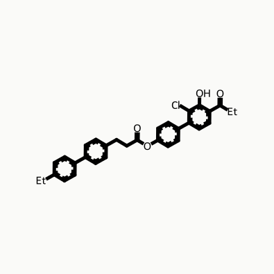 CCC(=O)c1ccc(-c2ccc(OC(=O)CCc3ccc(-c4ccc(CC)cc4)cc3)cc2)c(Cl)c1O